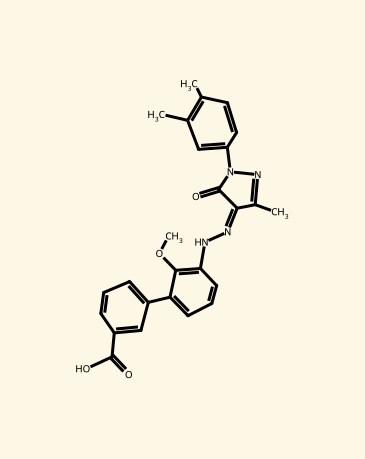 COc1c(N/N=C2\C(=O)N(c3ccc(C)c(C)c3)N=C2C)cccc1-c1cccc(C(=O)O)c1